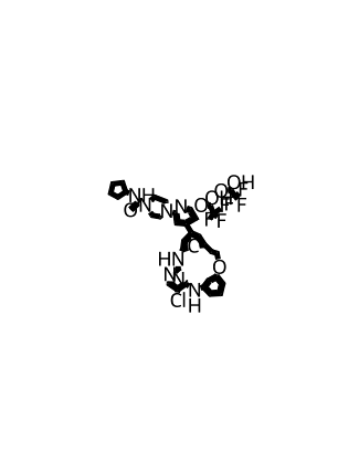 O=C(NC1CCCC1)N1CCN(c2cc(-c3cc4cc(c3)Nc3ncc(Cl)c(n3)Nc3cccc(c3)OCC4)ccn2)CC1.O=C(O)C(F)(F)F.O=C(O)C(F)(F)F